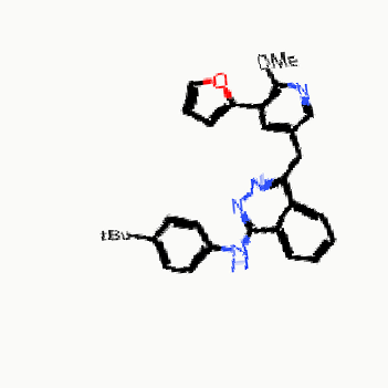 COc1ncc(Cc2nnc(Nc3ccc(C(C)(C)C)cc3)c3ccccc23)cc1-c1ccco1